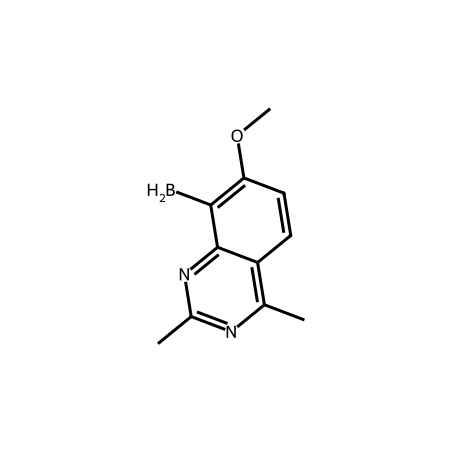 Bc1c(OC)ccc2c(C)nc(C)nc12